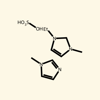 CCN1C=CN(C)C1.Cn1ccnc1.O=S(=O)(O)O